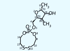 C[C@@H]1O[C@H](COP2(=O)OCCSSCCO2)[C@H](C)C1O